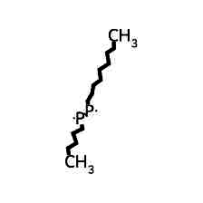 CCCCCCCCC[P][P]CCCCC